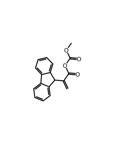 C=C(C(=O)OC(=O)OC)C1c2ccccc2-c2ccccc21